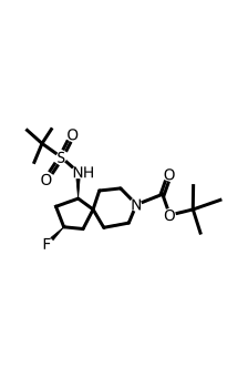 CC(C)(C)OC(=O)N1CCC2(CC1)C[C@@H](F)C[C@H]2NS(=O)(=O)C(C)(C)C